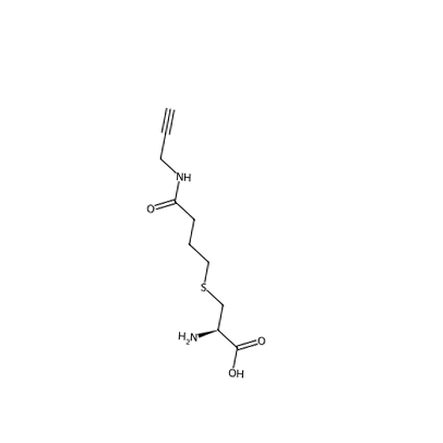 C#CCNC(=O)CCCSC[C@H](N)C(=O)O